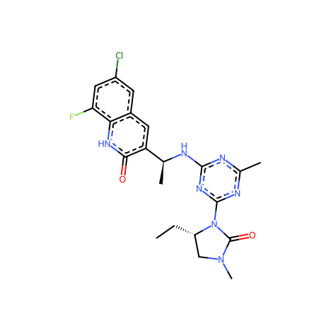 CC[C@H]1CN(C)C(=O)N1c1nc(C)nc(N[C@@H](C)c2cc3cc(Cl)cc(F)c3[nH]c2=O)n1